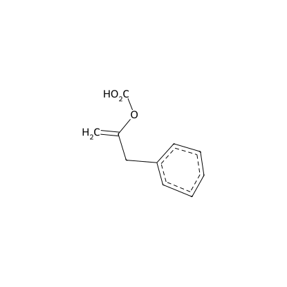 C=C(Cc1ccccc1)OC(=O)O